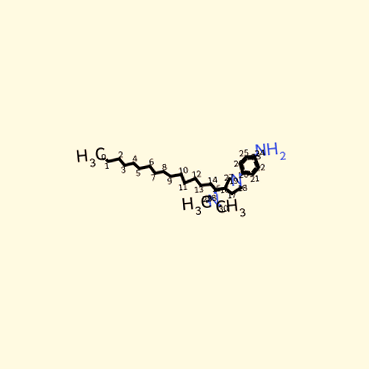 CCCCCCCCCCCCCCCC(C1CCN(c2ccc(N)cc2)C1)N(C)C